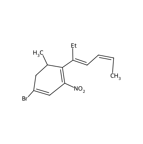 C/C=C\C=C(/CC)C1=C([N+](=O)[O-])C=C(Br)CC1C